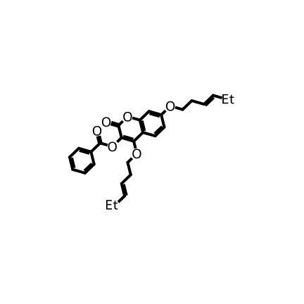 CCC=CCCOc1ccc2c(OCCC=CCC)c(OC(=O)c3ccccc3)c(=O)oc2c1